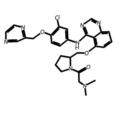 CN(C)CC(=O)N1CCCC1COc1cccc2ncnc(Nc3ccc(OCc4cnccn4)c(Cl)c3)c12